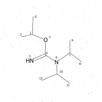 CC(C)OC(=N)N(C(C)C)C(C)C